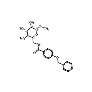 CO[C@H]1O[C@H](CNC(=O)c2ccc(OCc3ccccc3)cc2)[C@@H](O)[C@H](O)[C@H]1O